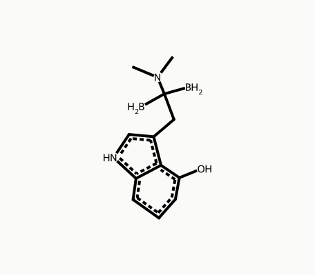 BC(B)(Cc1c[nH]c2cccc(O)c12)N(C)C